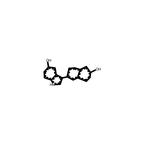 Oc1ccc2cc(-c3c[nH]c4ccc(O)cc34)ccc2c1